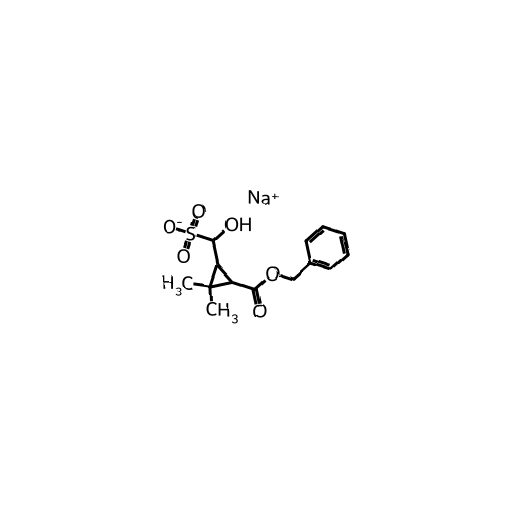 CC1(C)C(C(=O)OCc2ccccc2)C1C(O)S(=O)(=O)[O-].[Na+]